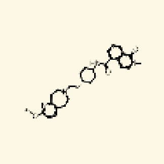 CC(C)Oc1ccc2c(n1)CCN(CC[C@H]1CC[C@H](NC(=O)c3cccc4c(=O)n(C)ccc34)CC1)CC2